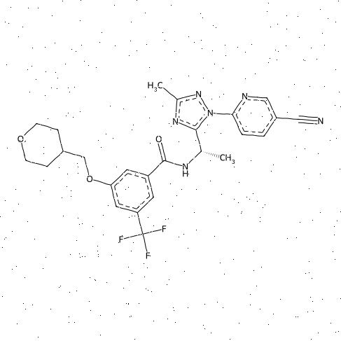 Cc1nc([C@H](C)NC(=O)c2cc(OCC3CCOCC3)cc(C(F)(F)F)c2)n(-c2ccc(C#N)cn2)n1